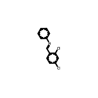 Clc1ccc(C=Nc2ccccc2)c(Cl)c1